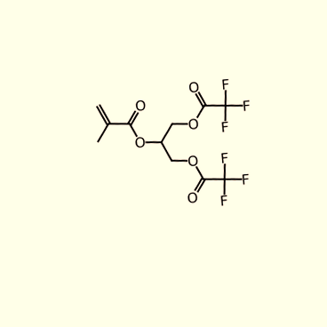 C=C(C)C(=O)OC(COC(=O)C(F)(F)F)COC(=O)C(F)(F)F